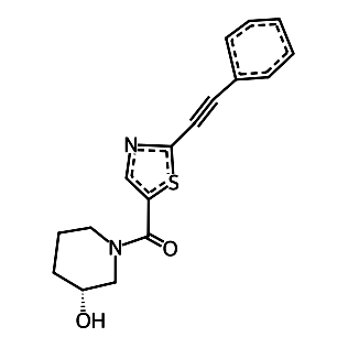 O=C(c1cnc(C#Cc2ccccc2)s1)N1CCC[C@@H](O)C1